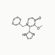 COc1c(-c2ncc[nH]2)n(Cc2ccccc2)ccc1=O